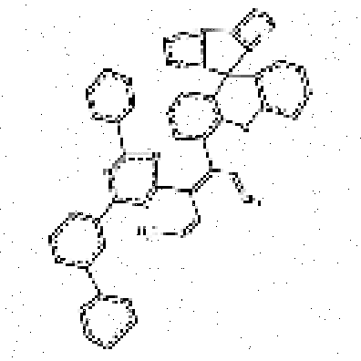 C=C/C(=C(\C=C/C)c1nc(-c2ccccc2)nc(-c2cccc(-c3ccccc3)c2)n1)c1cccc2c1Oc1ccccc1C21c2ccccc2-c2ccccc21